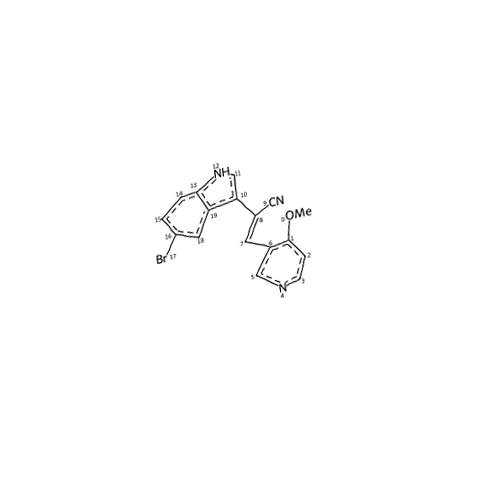 COc1ccncc1C=C(C#N)c1c[nH]c2ccc(Br)cc12